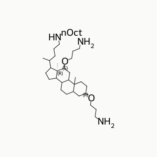 CCCCCCCCNCCCC(C)C1CCC2C3CCC4C[C@H](OCCCN)CCC4(C)C3C[C@H](OCCCN)[C@]12C